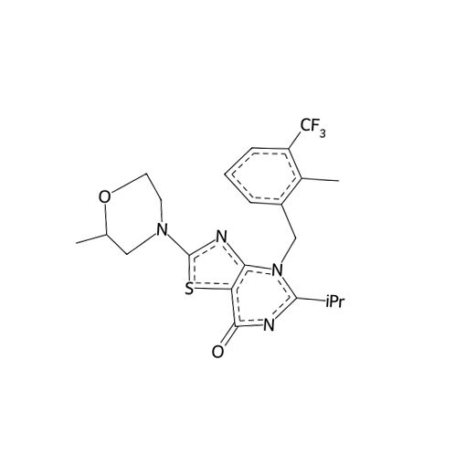 Cc1c(Cn2c(C(C)C)nc(=O)c3sc(N4CCOC(C)C4)nc32)cccc1C(F)(F)F